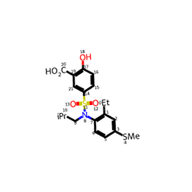 CCc1cc(SC)ccc1N(CC(C)C)S(=O)(=O)c1ccc(O)c(C(=O)O)c1